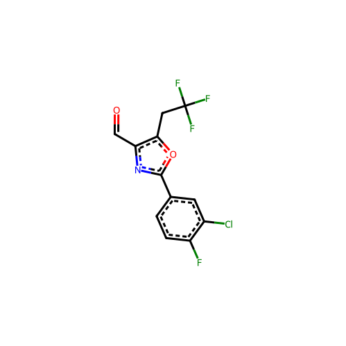 O=Cc1nc(-c2ccc(F)c(Cl)c2)oc1CC(F)(F)F